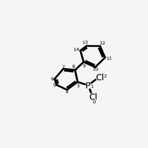 ClP(Cl)c1ccccc1-c1ccccc1